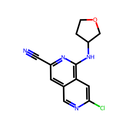 N#Cc1cc2cnc(Cl)cc2c(NC2CCOC2)n1